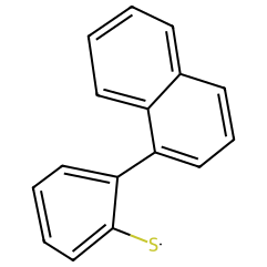 [S]c1ccccc1-c1cccc2ccccc12